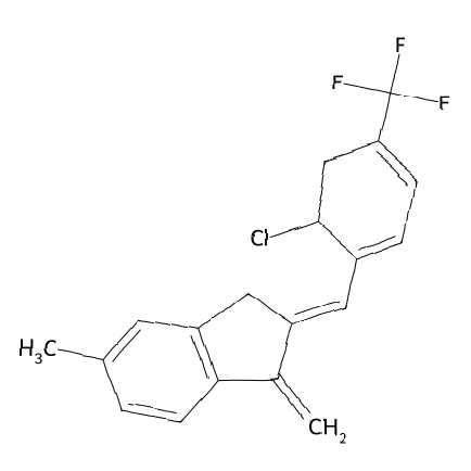 C=C1/C(=C/C2=CC=C(C(F)(F)F)CC2Cl)Cc2cc(C)ccc21